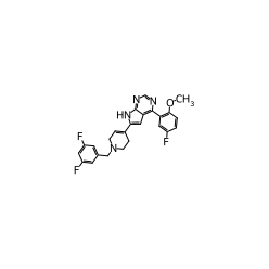 COc1ccc(F)cc1-c1ncnc2[nH]c(C3=CCN(Cc4cc(F)cc(F)c4)CC3)cc12